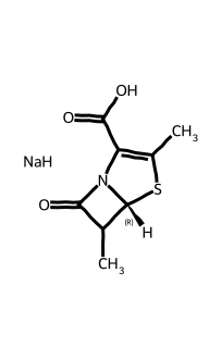 CC1=C(C(=O)O)N2C(=O)C(C)[C@H]2S1.[NaH]